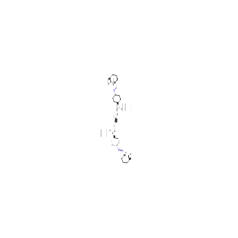 CC1CC(NCCSSCCNc2ccc(/C=C/c3cccc[n+]3C)cc2)=CC=C1/C=C/c1cccc[n+]1C